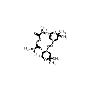 CC1(C)CN(SSN2CCOC(C)(C)C2)CCO1.CN(C)C(=S)SSC(=S)N(C)C